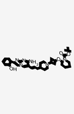 CC(C)(C)OC(=O)N1CCCCC1OC1CC(N2CCC(C/C=C/c3cn4cc(-c5ccccc5O)nc4nc3N)CC2)C1